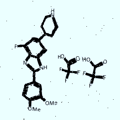 COc1ccc(-c2nc3c(F)cc(C4CCNCC4)cc3[nH]2)cc1OC.O=C(O)C(F)(F)F.O=C(O)C(F)(F)F